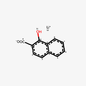 O=C([O-])c1ccc2ccccc2c1O.[Li+]